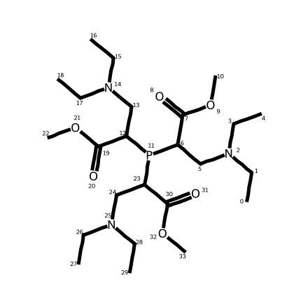 CCN(CC)CC(C(=O)OC)P(C(CN(CC)CC)C(=O)OC)C(CN(CC)CC)C(=O)OC